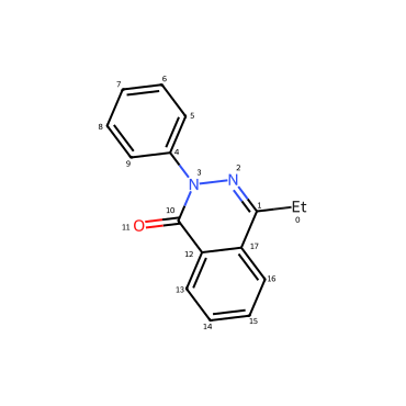 CCc1nn(-c2ccccc2)c(=O)c2ccccc12